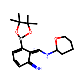 CC1(C)OB(C2=CC=CC(=N)/C2=C\NC2CCCCO2)OC1(C)C